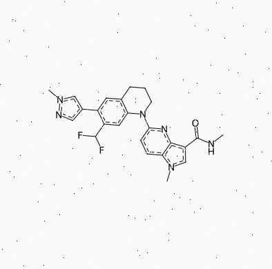 CNC(=O)c1cn(C)c2ccc(N3CCCc4cc(-c5cnn(C)c5)c(C(F)F)cc43)nc12